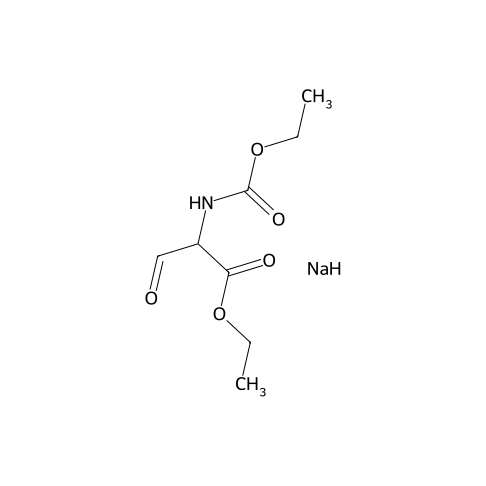 CCOC(=O)NC(C=O)C(=O)OCC.[NaH]